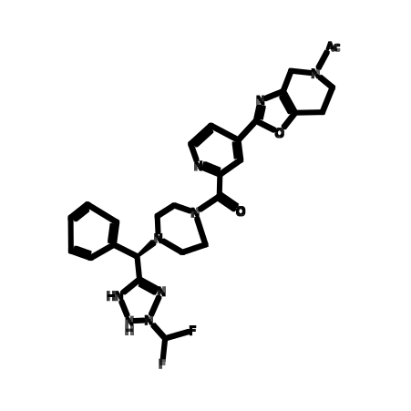 CC(=O)N1CCc2oc(-c3ccnc(C(=O)N4CCN([C@@H](C5=NN(C(F)F)NN5)c5ccccc5)CC4)c3)nc2C1